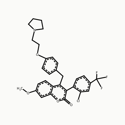 COc1ccc2c(Cc3ccc(OCCN4CCCC4)cc3)c(-c3ccc(C(F)(F)F)cc3Cl)c(=O)oc2c1